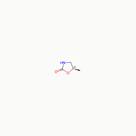 [CH2][C@@H]1CNC(=O)O1